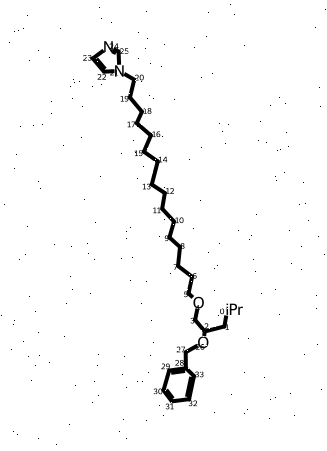 CC(C)CC(COCCCCCCCCCCCCCCCCn1ccnc1)OCc1ccccc1